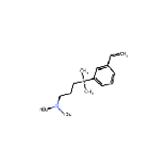 C=Cc1cccc([Si](C)(C)CCCN(CCCC)CCCC)c1